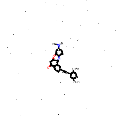 CCN(CC)c1ccc2nc3c4cc(C#Cc5cc(C=O)ccc5OC)ccc4c(=O)cc-3oc2c1